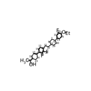 CCOc1ccc(C2CCC(CCc3ccc(C4=CCC(C(C)O)CC4)c(F)c3F)CC2)cc1F